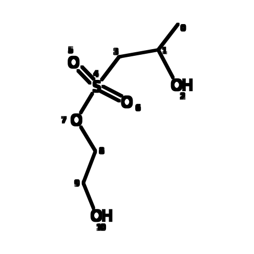 CC(O)CS(=O)(=O)OCCO